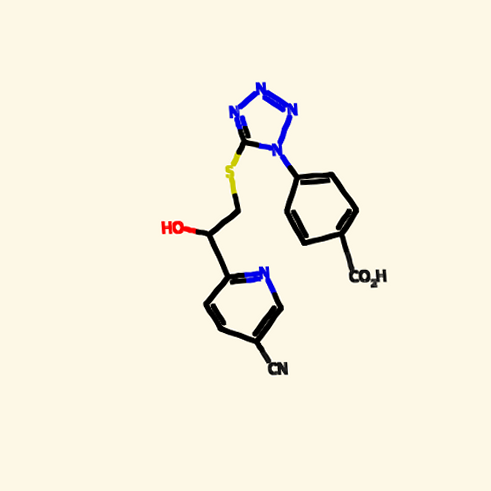 N#Cc1ccc(C(O)CSc2nnnn2-c2ccc(C(=O)O)cc2)nc1